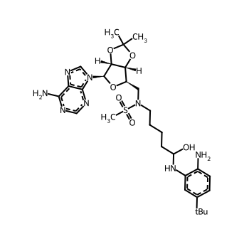 CC1(C)O[C@@H]2[C@H](O1)[C@@H](CN(CCCCC(O)Nc1cc(C(C)(C)C)ccc1N)S(C)(=O)=O)O[C@H]2n1cnc2c(N)ncnc21